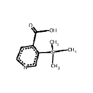 C[Si](C)(C)c1cnccc1C(=O)O